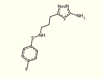 Nc1nnc(CCCNSc2ccc(F)cc2)s1